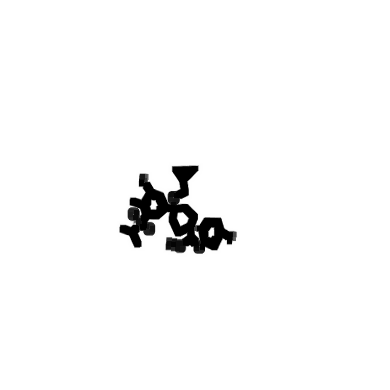 Cc1c(F)cc([C@]2(OCC3CC3)CC[C@@](C(=O)O)(c3ccc(F)cc3)CC2)cc1S(=O)(=O)C(C)C